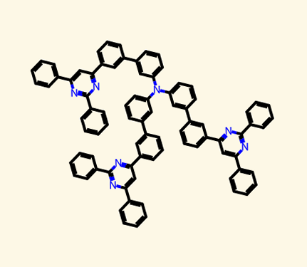 c1ccc(-c2cc(-c3cccc(-c4cccc(N(c5cccc(-c6cccc(-c7cc(-c8ccccc8)nc(-c8ccccc8)n7)c6)c5)c5cccc(-c6cccc(-c7cc(-c8ccccc8)nc(-c8ccccc8)n7)c6)c5)c4)c3)nc(-c3ccccc3)n2)cc1